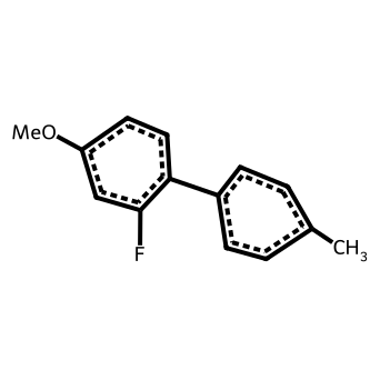 COc1ccc(-c2ccc(C)cc2)c(F)c1